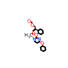 CO/C=C(/COC=O)c1ccccc1Oc1nccc(Oc2ccccc2)n1